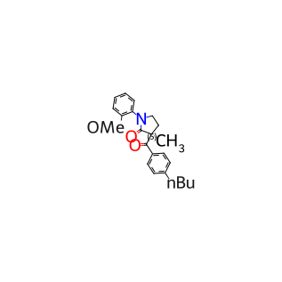 CCCCc1ccc(C(=O)[C@]2(C)CCN(c3ccccc3OC)C2=O)cc1